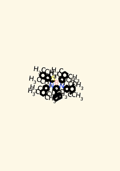 Cc1cc2c(cc1N1c3cc4c(cc3B3c5sc6cc7c(cc6c5N(c5ccc6c(c5)C(C)(C)CCC6(C)C)c5cc(C68CC9CC(CC(C9)C6)C8)cc1c53)C(C)(C)CCC7(C)C)C(C)(C)CCC4(C)C)C(C)(C)CCC2(C)C